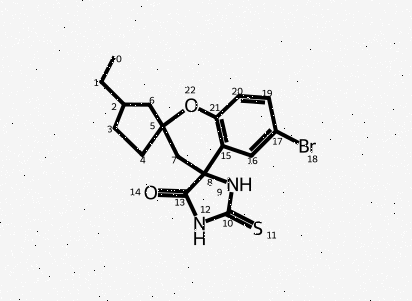 CCC1CCC2(C1)CC1(NC(=S)NC1=O)c1cc(Br)ccc1O2